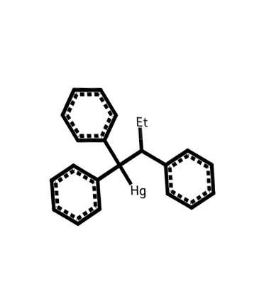 CCC(c1ccccc1)[C]([Hg])(c1ccccc1)c1ccccc1